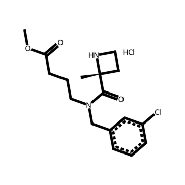 COC(=O)CCCN(Cc1cccc(Cl)c1)C(=O)[C@@]1(C)CCN1.Cl